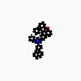 c1ccc(-c2nc(-c3ccc(-c4cccc5ccccc45)cc3)nc(-c3ccc(-c4cccc5oc6c7ccccc7c(-c7ccccc7)cc6c45)cc3)n2)cc1